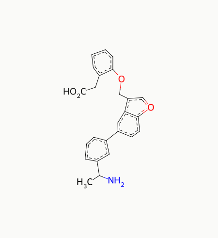 CC(N)c1cccc(-c2ccc3occ(COc4ccccc4CC(=O)O)c3c2)c1